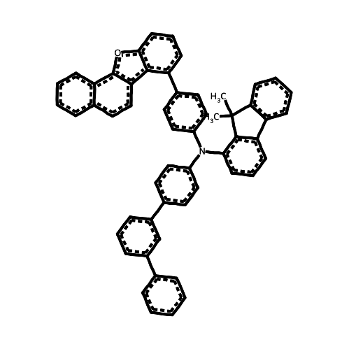 CC1(C)c2ccccc2-c2cccc(N(c3ccc(-c4cccc(-c5ccccc5)c4)cc3)c3ccc(-c4cccc5oc6c7ccccc7ccc6c45)cc3)c21